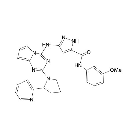 COc1cccc(NC(=O)c2cc(Nc3nc(N4CCCC4c4ccccn4)nc4cccn34)n[nH]2)c1